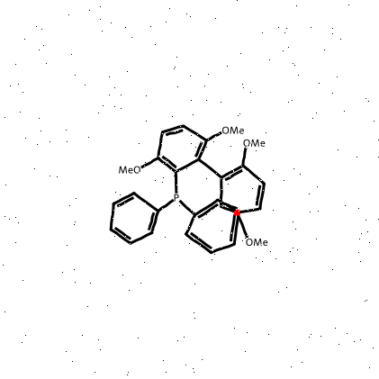 COc1ccc(OC)c(-c2c(OC)ccc(OC)c2P(c2ccccc2)c2ccccc2)c1